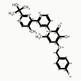 Cc1cnc(C(C)(C)O)nc1-c1cc(-n2c(C)cc(OCc3ccc(F)cc3)c(Cl)c2=O)ccn1